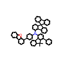 CC1(C)c2ccccc2-c2c(N(c3ccc(-c4cccc5c4oc4ccccc45)cc3)c3cccc4c3-c3ccccc3C43c4ccccc4-c4ccccc43)ccc(-c3ccccc3)c21